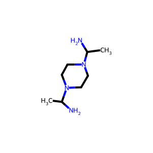 CC(N)N1CCN(C(C)N)CC1